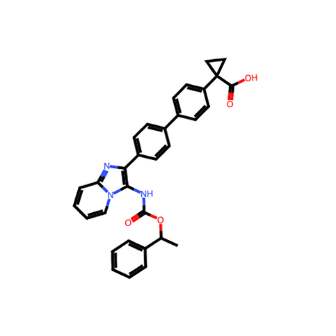 CC(OC(=O)Nc1c(-c2ccc(-c3ccc(C4(C(=O)O)CC4)cc3)cc2)nc2ccccn12)c1ccccc1